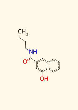 CCCCNC(=O)c1cc(O)c2ccccc2c1